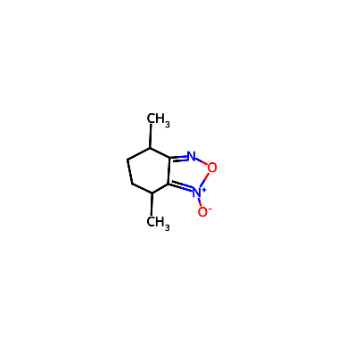 CC1CCC(C)c2c1no[n+]2[O-]